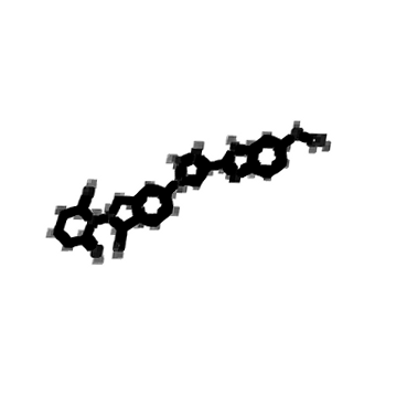 COc1ccc2nc(-c3cn(-c4ccc5c(c4)CN(N4C(=O)CCCC4=O)C5=O)nn3)sc2c1